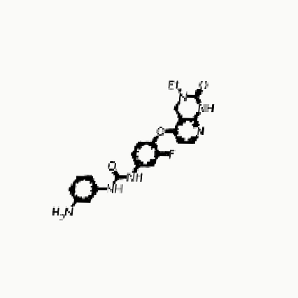 CCN1Cc2c(Oc3ccc(NC(=O)Nc4cccc(N)c4)cc3F)ccnc2NC1=O